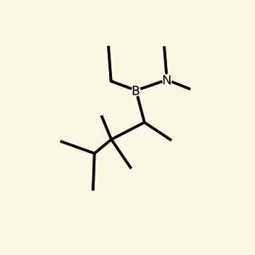 CCB(C(C)C(C)(C)C(C)C)N(C)C